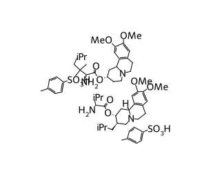 COc1cc2c(cc1OC)C1C[C@@H](OC(=O)C(N)C(C)(C)CC(C)C)CCN1CC2.COc1cc2c(cc1OC)[C@H]1C[C@@H](OC(=O)C(N)C(C)C)[C@H](CC(C)C)CN1CC2.Cc1ccc(S(=O)(=O)O)cc1.Cc1ccc(S(=O)(=O)O)cc1